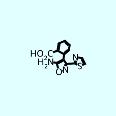 Nc1onc(-c2nccs2)c1-c1ccccc1C(=O)O